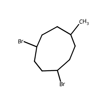 CC1CCC(Br)CCC(Br)CC1